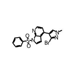 Cn1cc(-c2ccnc3c2ccn3S(=O)(=O)c2ccccc2)c(Br)n1